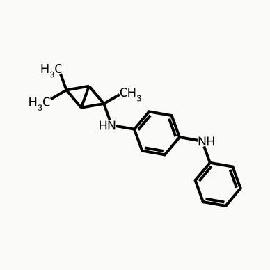 CC1(C)C2C1C2(C)Nc1ccc(Nc2ccccc2)cc1